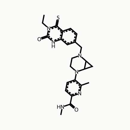 CCn1c(=O)[nH]c2cc(CN3CCN(c4ccc(C(=O)NC)nc4C)C4CC43)ccc2c1=S